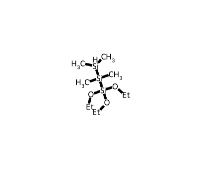 CCO[Si](OCC)(OCC)[Si](C)(C)[SiH](C)C